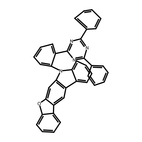 c1ccc(-c2nc(-c3ccccc3)nc(-c3ccccc3-n3c4ccccc4c4cc5c(cc43)oc3ccccc35)n2)cc1